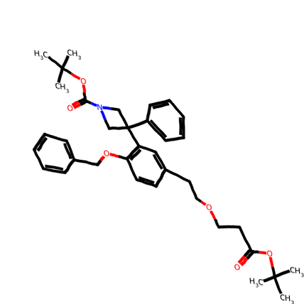 CC(C)(C)OC(=O)CCOCCc1ccc(OCc2ccccc2)c(C2(c3ccccc3)CN(C(=O)OC(C)(C)C)C2)c1